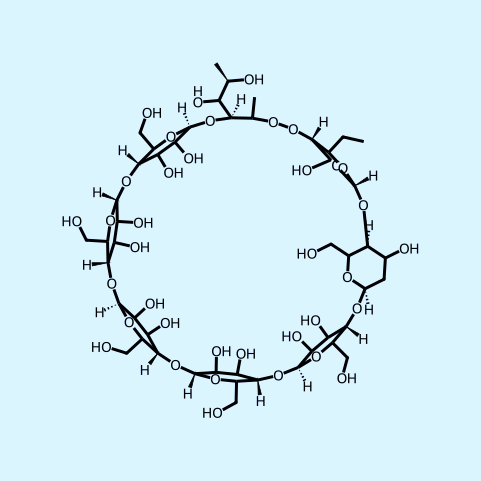 CCC1O[C@H]2CC(O)[C@@H]1OOC(C)[C@H](C(O)[C@@H](C)O)O[C@@H]1OC(CO)[C@@H](O[C@H]3OC(CO)[C@@H](O[C@@H]4OC(CO)[C@@H](O[C@H]5OC(CO)[C@@H](O[C@@H]6OC(CO)[C@@H](O[C@@H]7CC(O)[C@H](O2)C(CO)O7)C(O)C6O)C(O)C5O)C(O)C4O)C(O)C3O)C(O)C1O